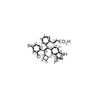 O=C(O)/C=C/c1ncccc1/C(=C(\c1ccc(F)cc1Cl)C1CCC1)c1ccc2[nH]nc(F)c2c1